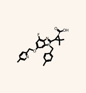 Cc1ccc(Cn2c(C3[C@@H](C(=O)O)C3(C)C)nc3c(F)cc(OCc4ccc(C)cn4)cc32)cc1